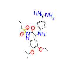 CCCS(=O)(=O)NC(=O)C(Nc1ccc(C(=N)N)cc1)c1ccc(OC(C)C)c(OCC)c1